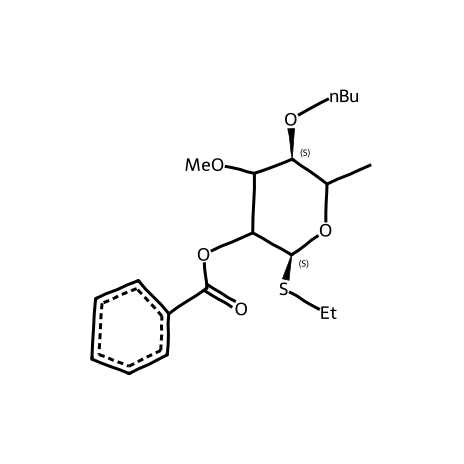 CCCCO[C@H]1C(C)O[C@@H](SCC)C(OC(=O)c2ccccc2)C1OC